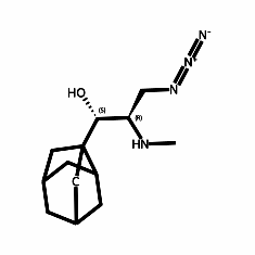 CN[C@H](CN=[N+]=[N-])[C@@H](O)C12CC3CC(CC1C3)C2